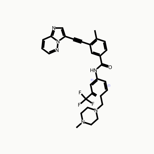 C=C(/C=C(\C=C/CCN1CCN(C)CC1)NC(=O)c1ccc(C)c(C#Cc2cnc3cccnn23)c1)C(F)(F)F